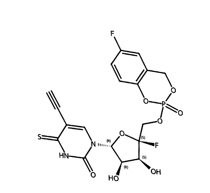 C#Cc1cn([C@@H]2O[C@](F)(COP3(=O)OCc4cc(F)ccc4O3)[C@@H](O)[C@H]2O)c(=O)[nH]c1=S